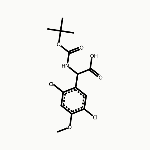 COc1cc(Cl)c(C(NC(=O)OC(C)(C)C)C(=O)O)cc1Cl